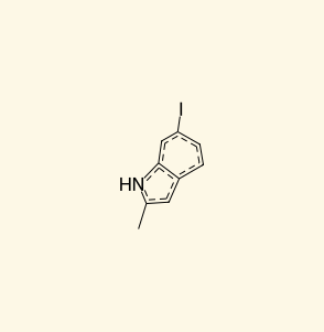 Cc1cc2ccc(I)cc2[nH]1